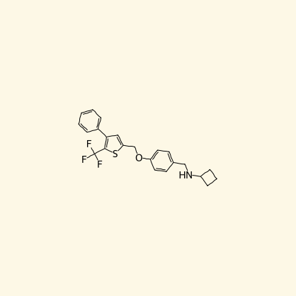 FC(F)(F)c1sc(COc2ccc(CNC3CCC3)cc2)cc1-c1ccccc1